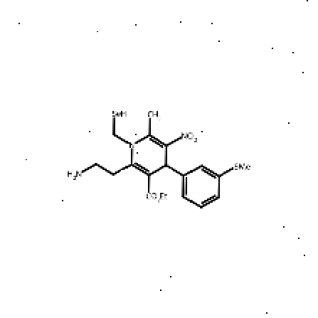 CCOC(=O)C1=C(CCN)N(C[SeH])C(C)=C([N+](=O)[O-])C1c1cccc(SC)c1